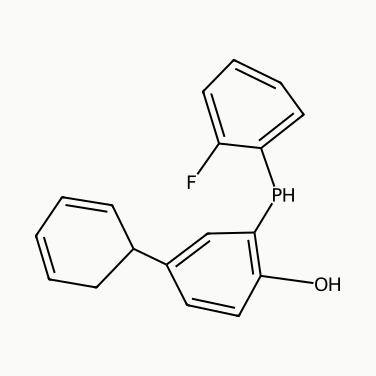 Oc1ccc(C2C=CC=CC2)cc1Pc1ccccc1F